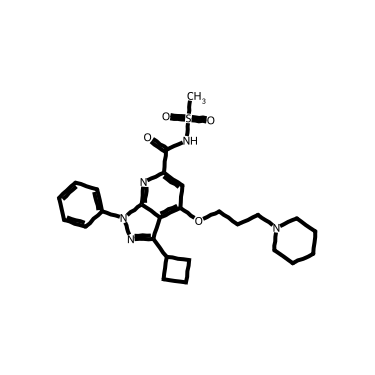 CS(=O)(=O)NC(=O)c1cc(OCCCN2CCCCC2)c2c(C3CCC3)nn(-c3ccccc3)c2n1